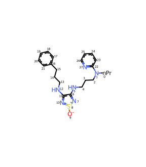 CCCN(CCCNc1n[s+]([O-])nc1NCCCc1ccccc1)c1ccccn1